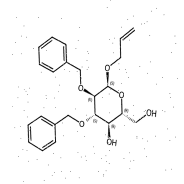 C=CCO[C@H]1O[C@H](CO)[C@@H](O)[C@H](OCc2ccccc2)[C@H]1OCc1ccccc1